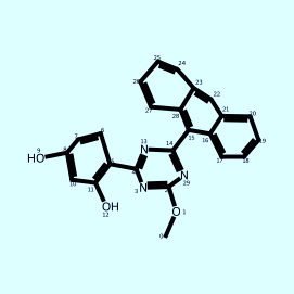 COc1nc(-c2ccc(O)cc2O)nc(-c2c3ccccc3cc3ccccc23)n1